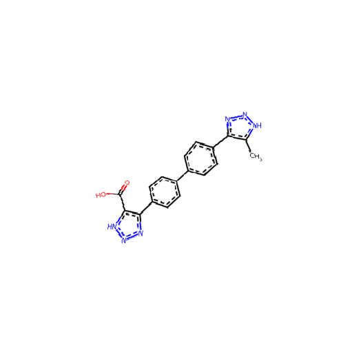 Cc1[nH]nnc1-c1ccc(-c2ccc(-c3nn[nH]c3C(=O)O)cc2)cc1